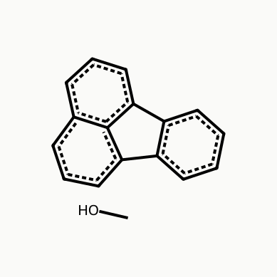 CO.c1ccc2c(c1)-c1cccc3cccc-2c13